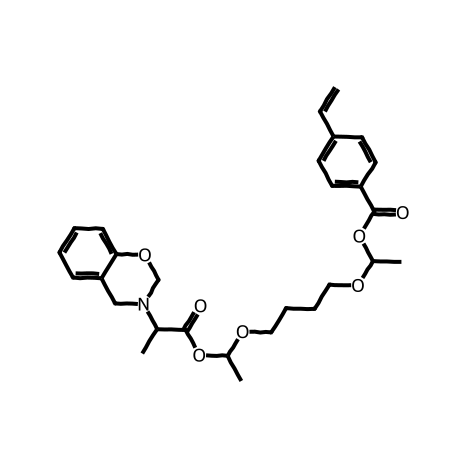 C=Cc1ccc(C(=O)OC(C)OCCCCOC(C)OC(=O)C(C)N2COc3ccccc3C2)cc1